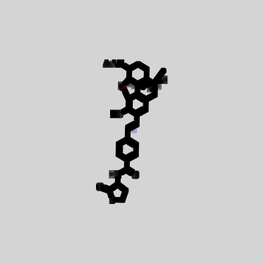 CC(=O)NC1CCC2[C@H]3Cc4cc(/C=C/c5ccc(C(=O)NC6CCSC6=O)cc5)c(O)c5c4[C@@]2(CCN3C)[C@H]1O5